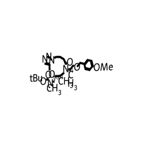 COc1ccc(COC[C@@H](C)N2C[C@H](C)[C@H](CN(C)C(=O)OC(C)(C)C)OCc3cnnn3CCCC2=O)cc1